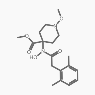 COC(=O)C1(N(O)C(=O)Cc2c(C)cccc2C)CCN(OC)CC1